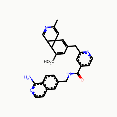 CC1=CC23C=C(Cc4cc(C(=O)NCc5ccc6c(N)nccc6c5)ccn4)C=C(C(=O)O)C2C3C=N1